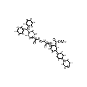 COC(=O)c1cc(-c2ccc(N3CCOCC3)cc2)ccc1NC(=O)COCC(=O)N1CCN(C(c2ccccc2)c2ccccc2)CC1